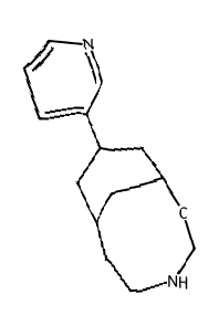 c1cncc(C2CC3CCNCCC(C3)C2)c1